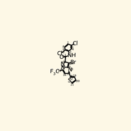 O=C(Nc1cc(Cl)ccc1Cl)c1nn2c(C(F)(F)F)cc(-c3cccs3)nc2c1Br